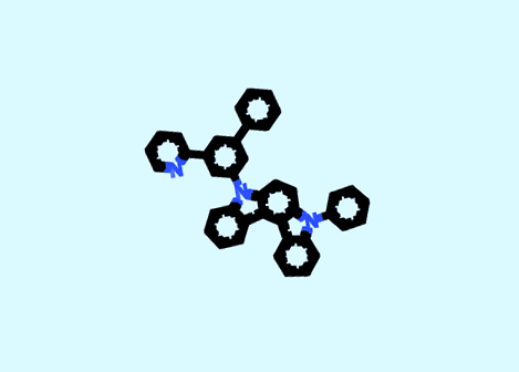 c1ccc(-c2cc(-c3ccccn3)cc(-n3c4ccccc4c4c5c6ccccc6n(-c6ccccc6)c5ccc43)c2)cc1